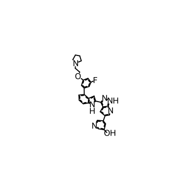 Oc1cncc(-c2cnc3[nH]nc(-c4cc5c(-c6cc(F)cc(OCCN7CCCC7)c6)cccc5[nH]4)c3c2)c1